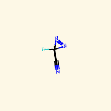 N#CC1(F)N=N1